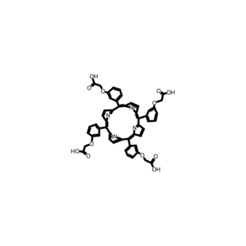 O=C(O)COc1cccc(-c2c3nc(c(-c4cccc(OCC(=O)O)c4)c4ccc([nH]4)c(-c4cccc(OCC(=O)O)c4)c4nc(c(-c5cccc(OCC(=O)O)c5)c5ccc2[nH]5)C=C4)C=C3)c1